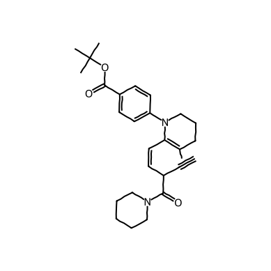 C#CC(/C=C\C1=C(C)CCCN1c1ccc(C(=O)OC(C)(C)C)cc1)C(=O)N1CCCCC1